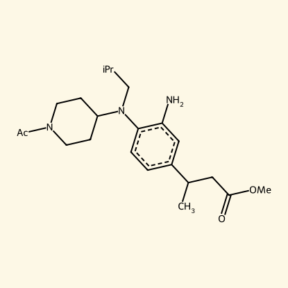 COC(=O)CC(C)c1ccc(N(CC(C)C)C2CCN(C(C)=O)CC2)c(N)c1